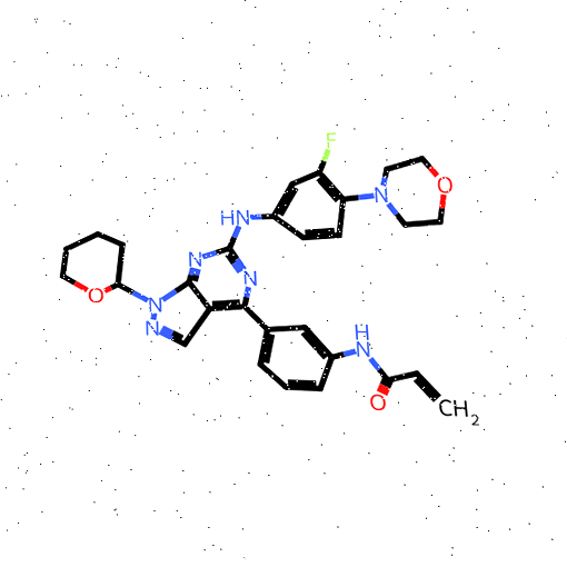 C=CC(=O)Nc1cccc(-c2nc(Nc3ccc(N4CCOCC4)c(F)c3)nc3c2cnn3C2CCCCO2)c1